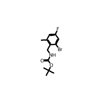 Cc1cc(F)cc(Br)c1CNC(=O)OC(C)(C)C